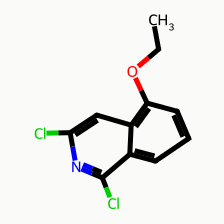 CCOc1cccc2c(Cl)nc(Cl)cc12